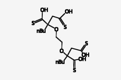 CCCCC(CC(O)=S)(OCCOC(CCCC)(CC(O)=S)C(O)=S)C(O)=S